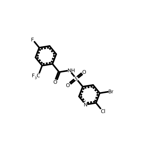 O=C(NS(=O)(=O)c1cnc(Cl)c(Br)c1)c1ccc(F)cc1C(F)(F)F